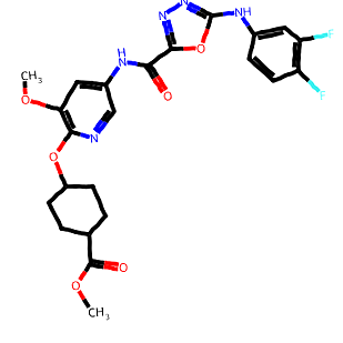 COC(=O)C1CCC(Oc2ncc(NC(=O)c3nnc(Nc4ccc(F)c(F)c4)o3)cc2OC)CC1